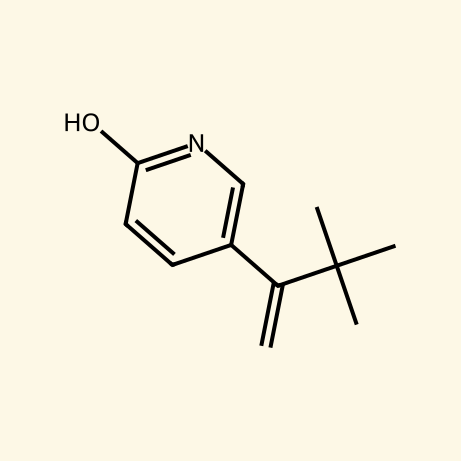 C=C(c1ccc(O)nc1)C(C)(C)C